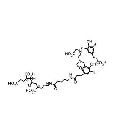 O=C(O)CCc1cc(I)c(O)c(CN(CCN(CC(=O)O)Cc2cc(CCC(=O)NCCCCC(=O)NCCC[C@H](CC(=O)N[C@@H](CCC(=O)O)C(=O)O)C(=O)O)cc(I)c2O)CC(=O)O)c1